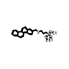 CCO[Si](CCCSCc1ccc2c(ccc3c4ccccc4ccc23)c1)(OCC)OCC